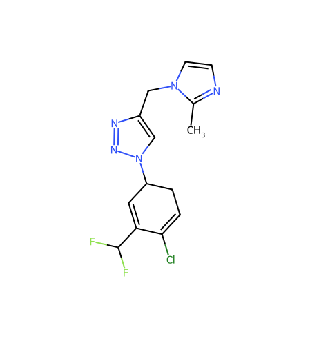 Cc1nccn1Cc1cn(C2C=C(C(F)F)C(Cl)=CC2)nn1